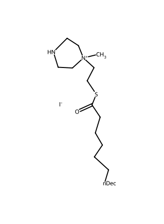 CCCCCCCCCCCCCCCC(=O)SCC[N+]1(C)CCNCC1.[I-]